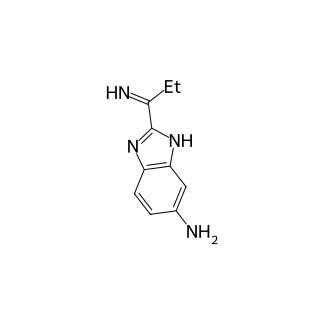 CCC(=N)c1nc2ccc(N)cc2[nH]1